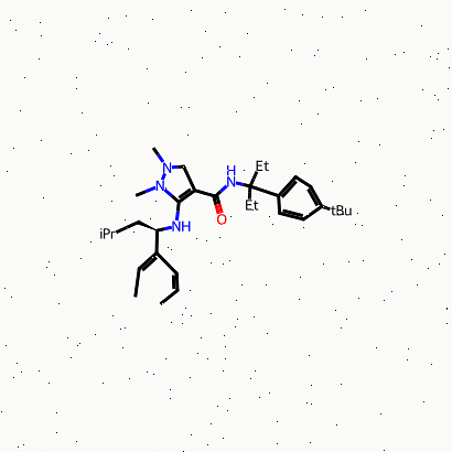 C/C=C\C(=C/C)[C@@H](CC(C)C)NC1=C(C(=O)NC(CC)(CC)c2ccc(C(C)(C)C)cc2)CN(C)N1C